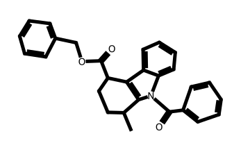 CC1CCC(C(=O)OCc2ccccc2)c2c1n(C(=O)c1ccccc1)c1ccccc21